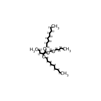 CCCCCCCCCOC(CCC)=C(OCCCCCCCCC)OCOCCCC